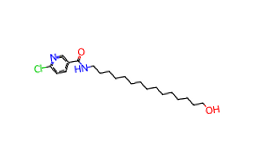 O=C(NCCCCCCCCCCCCCCCO)c1ccc(Cl)nc1